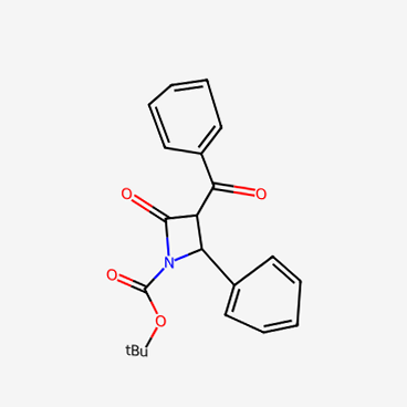 CC(C)(C)OC(=O)N1C(=O)C(C(=O)c2ccccc2)C1c1ccccc1